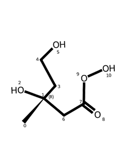 C[C@@](O)(CCO)CC(=O)OO